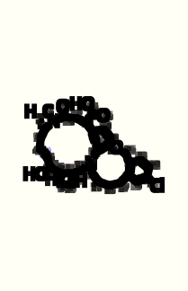 CN1CC/C=C/[C@H](O)[C@@H]2CC[C@H]2CN2CCCCc3cc(Cl)ccc3COc3ccc(cc32)C(C(=O)O)CC1=O